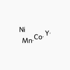 [Co].[Mn].[Ni].[Y]